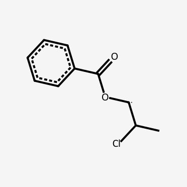 CC(Cl)[CH]OC(=O)c1ccccc1